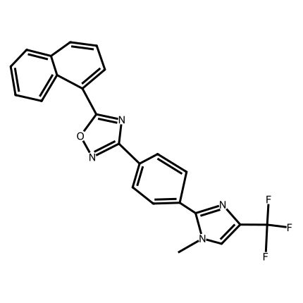 Cn1cc(C(F)(F)F)nc1-c1ccc(-c2noc(-c3cccc4ccccc34)n2)cc1